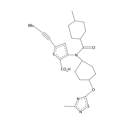 Cc1nsc(OC2CCC(N(C(=O)C3CCC(C)CC3)c3cc(C#CC(C)(C)C)sc3C(=O)O)CC2)n1